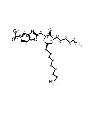 CCCCCCCCCC(=O)N[C@@H](Cc1nc2cc(C(=O)O)ccc2o1)C(=O)NCCCCCC